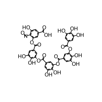 O=Nc1c(O)cc(C(=O)O)cc1OC(=O)c1cc(O)c(O)c(OC(=O)c2cc(O)c(O)c(OC(=O)c3cc(O)c(O)c(OC(=O)c4cc(O)c(O)c(O)c4)c3)c2)c1